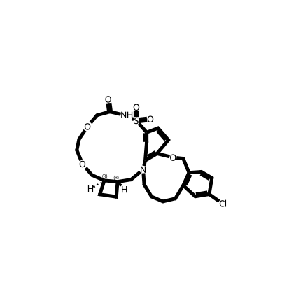 O=C1COCCOC[C@@H]2CC[C@H]2CN2CCCCc3cc(Cl)ccc3COc3ccc(cc32)S(=O)(=O)N1